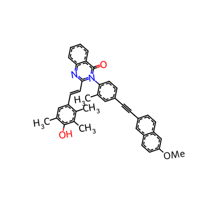 COc1ccc2cc(C#Cc3ccc(-n4c(/C=C/c5cc(C)c(O)c(C)c5C)nc5ccccc5c4=O)c(C)c3)ccc2c1